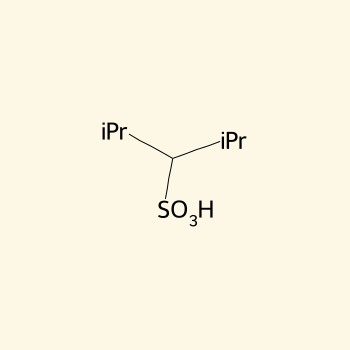 CC(C)C(C(C)C)S(=O)(=O)O